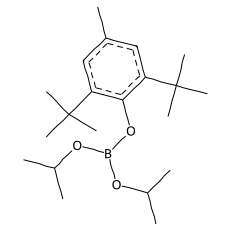 Cc1cc(C(C)(C)C)c(OB(OC(C)C)OC(C)C)c(C(C)(C)C)c1